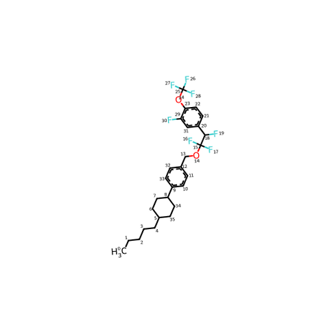 CCCCCC1CCC(c2ccc(COC(F)(F)C(F)c3ccc(OC(F)(F)F)c(F)c3)cc2)CC1